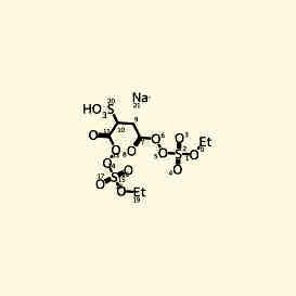 CCOS(=O)(=O)OOC(=O)CC(C(=O)OOS(=O)(=O)OCC)S(=O)(=O)O.[Na]